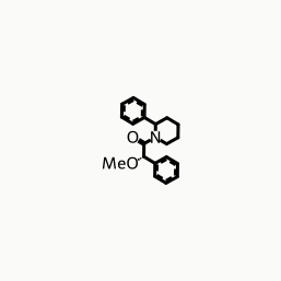 CO[C@H](C(=O)N1CCCCC1c1ccccc1)c1ccccc1